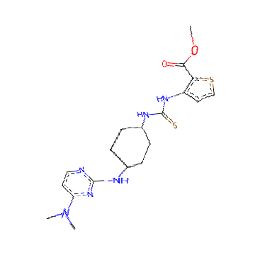 COC(=O)c1sccc1NC(=S)NC1CCC(Nc2nccc(N(C)C)n2)CC1